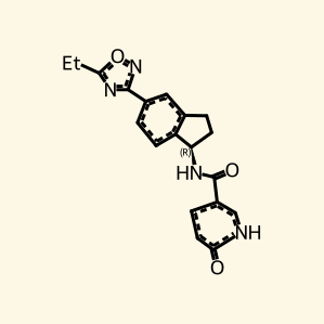 CCc1nc(-c2ccc3c(c2)CC[C@H]3NC(=O)c2ccc(=O)[nH]c2)no1